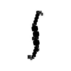 CCCCCCCCOc1ccc(-c2ccc(OC(=O)c3ccc(OCC(F)CCCCC)cc3)cc2)cc1